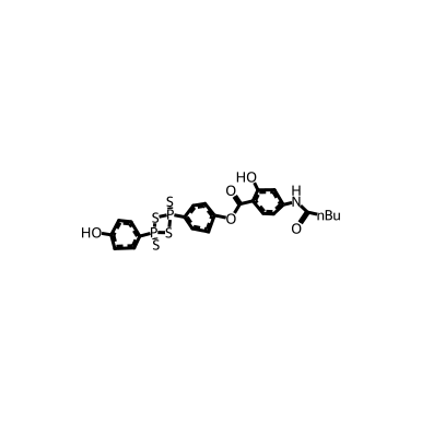 CCCCC(=O)Nc1ccc(C(=O)Oc2ccc(P3(=S)SP(=S)(c4ccc(O)cc4)S3)cc2)c(O)c1